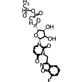 C[PH](=O)OP(C)(=O)OC[C@H]1O[C@@H](n2ccc(=O)n(Cc3noc4c(F)cccc34)c2=O)C(O)[C@H]1O